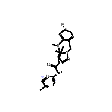 C=C(C)/C=N\C(=C/C)NC(=O)CCCN(C)C1=C[C@H](F)CC=C1CN1N=CCC1(C)C